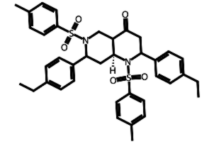 CCc1ccc(C2C[C@H]3C(CN2S(=O)(=O)c2ccc(C)cc2)C(=O)CC(c2ccc(CC)cc2)N3S(=O)(=O)c2ccc(C)cc2)cc1